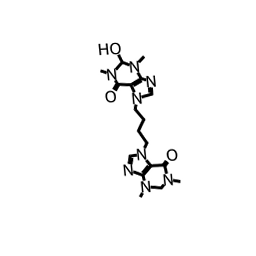 CN1CN(C)c2ncn(CCCCn3cnc4c3C(=O)N(C)C(O)N4C)c2C1=O